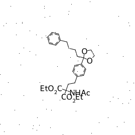 CCOC(=O)C(CCc1ccc(C2(CCCCc3ccccc3)OCCO2)cc1)(NC(C)=O)C(=O)OCC